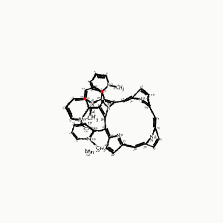 CN1C=CC=CC1c1c(C2C=CC=CN2C)c2c(C3C=CC=CN3C)c3nc(cc4ccc(cc5nc(cc1n2C1C=CC=CN1C)C=C5)[nH]4)C=C3.[Mn]